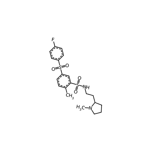 Cc1ccc(S(=O)(=O)c2ccc(F)cc2)cc1S(=O)(=O)NCCC1CCCN1C